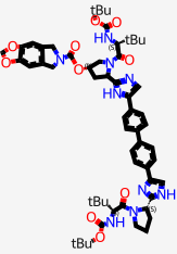 CC(C)(C)OC(=O)N[C@H](C(=O)N1C[C@H](OC(=O)N2Cc3cc4c(cc3C2)OCO4)CC1c1ncc(-c2ccc(-c3ccc(-c4c[nH]c([C@@H]5CCCN5C(=O)[C@@H](NC(=O)OC(C)(C)C)C(C)(C)C)n4)cc3)cc2)[nH]1)C(C)(C)C